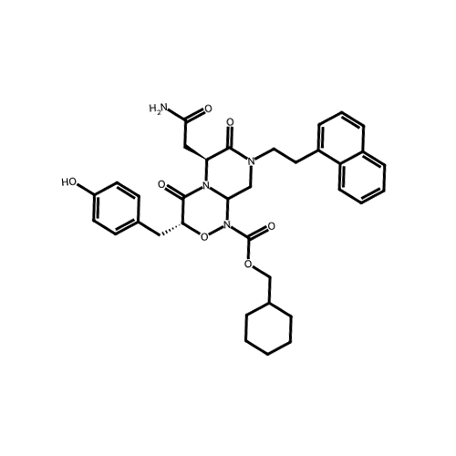 NC(=O)C[C@H]1C(=O)N(CCc2cccc3ccccc23)CC2N(C(=O)OCC3CCCCC3)O[C@H](Cc3ccc(O)cc3)C(=O)N21